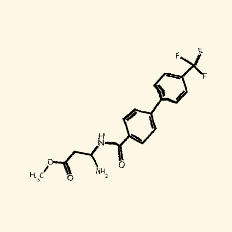 COC(=O)CC(N)NC(=O)c1ccc(-c2ccc(C(F)(F)F)cc2)cc1